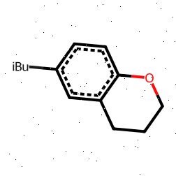 CCC(C)c1ccc2c(c1)CCCO2